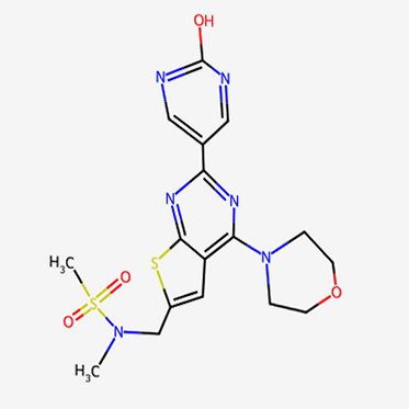 CN(Cc1cc2c(N3CCOCC3)nc(-c3cnc(O)nc3)nc2s1)S(C)(=O)=O